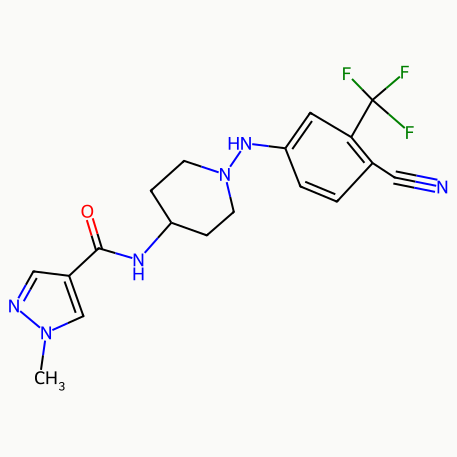 Cn1cc(C(=O)NC2CCN(Nc3ccc(C#N)c(C(F)(F)F)c3)CC2)cn1